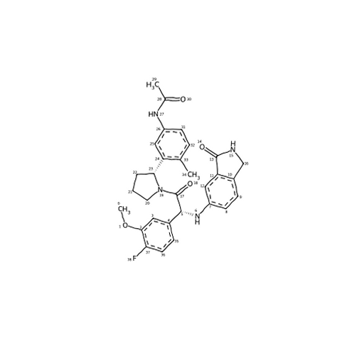 COc1cc([C@@H](Nc2ccc3c(c2)C(=O)NC3)C(=O)N2CCC[C@@H]2c2cc(NC(C)=O)ccc2C)ccc1F